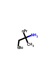 CCCC(C)(N)CC(C)(C)C